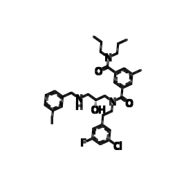 CCCN(CCC)C(=O)c1cc(C)cc(C(=O)N(CCc2cc(F)cc(Cl)c2)C[C@H](O)CNCc2cccc(I)c2)c1